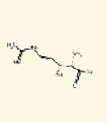 N=C(N)NCC[C@@H](O)[C@H](N)C(=O)O